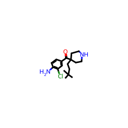 CC(C)(C)CCC1(C(=O)c2ccc(N)c(Cl)c2)CCNCC1